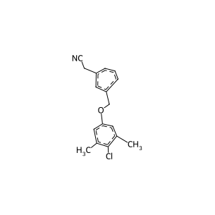 Cc1cc(OCc2cccc(CC#N)c2)cc(C)c1Cl